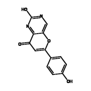 O=c1cc(-c2ccc(O)cc2)oc2cnc(O)nc12